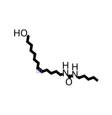 CCCCCNC(=O)NCCCC/C=C\CCCCCCCO